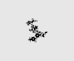 CCOC(=O)C(C)OC(=O)c1cc(Oc2ccc(C(F)(F)F)cc2Cl)ccc1[N+](=O)[O-].CSc1nnc(C(C)(C)C)c(=O)n1N.C[S+](C)C.O=C(O)CNCP(=O)([O-])O